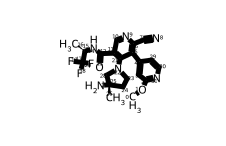 COc1cc(-c2c(C#N)ncc(C(=O)N[C@@H](C)C(F)(F)F)c2N2CC[C@](C)(N)C2)ccn1